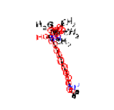 C=CCOC(=O)O[C@@H]1[C@@H](OC(=O)OCC=C)[C@H](Oc2ccc(CO)cc2NC(=O)CCOCCOCCOCCOCCOCCOCCOCCOCCNC(=O)OCC2c3ccccc3-c3ccccc32)O[C@H](C(=O)OCC=C)[C@H]1OC(=O)OCC=C